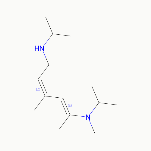 CC(=C/CNC(C)C)/C=C(\C)N(C)C(C)C